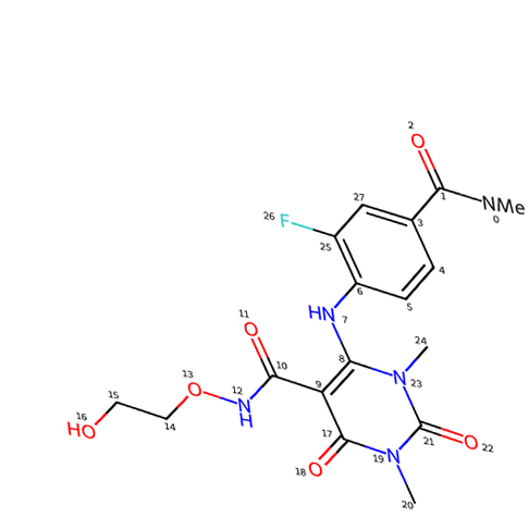 CNC(=O)c1ccc(Nc2c(C(=O)NOCCO)c(=O)n(C)c(=O)n2C)c(F)c1